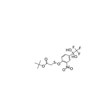 CC(C)(C)OC(=O)CSOc1ccc(S(O)(O)C(F)(F)F)cc1[N+](=O)[O-]